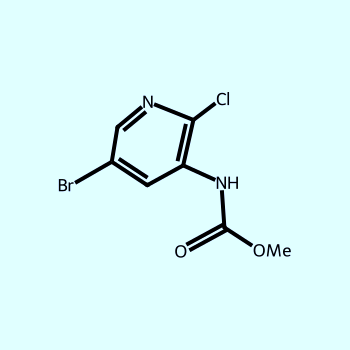 COC(=O)Nc1cc(Br)cnc1Cl